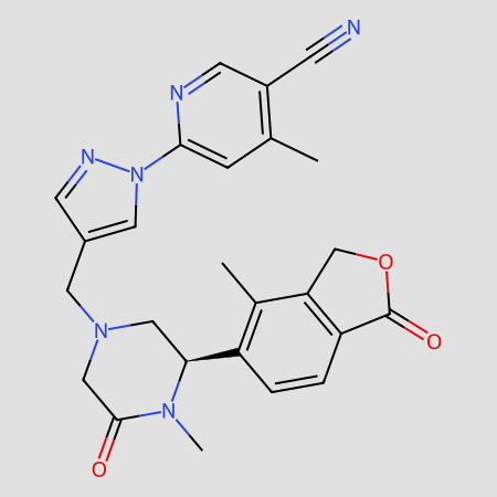 Cc1cc(-n2cc(CN3CC(=O)N(C)[C@H](c4ccc5c(c4C)COC5=O)C3)cn2)ncc1C#N